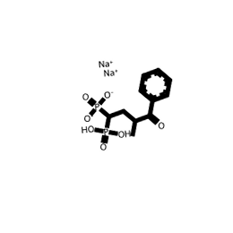 CC(CC(P(=O)([O-])[O-])P(=O)(O)O)C(=O)c1ccccc1.[Na+].[Na+]